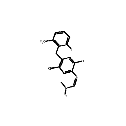 CCN(C)/C=N\c1cc(Cl)c(Cc2c(F)cccc2C(F)(F)F)cc1Cl